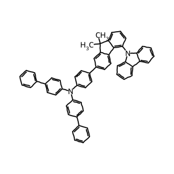 CC1(C)c2cc(-c3ccc(N(c4ccc(-c5ccccc5)cc4)c4ccc(-c5ccccc5)cc4)cc3)ccc2-c2c(-n3c4ccccc4c4ccccc43)cccc21